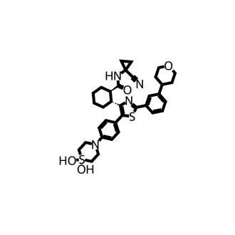 N#CC1(NC(=O)[C@@H]2CCCC[C@H]2c2nc(-c3cccc(C4CCOCC4)c3)sc2-c2ccc(N3CCS(O)(O)CC3)cc2)CC1